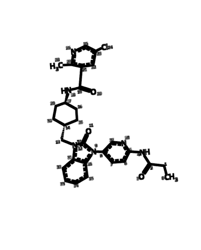 CCC(=O)Nc1ccc(-n2c(=O)n(C[C@H]3CC[C@H](NC(=O)c4cc(Cl)cnc4C)CC3)c3ccccc32)cn1